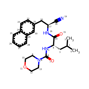 CC(C)C[C@H](NC(=O)N1CCOCC1)C(=O)N[C@H](C#N)Cc1ccc2ccccc2c1